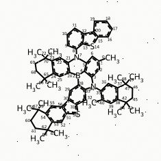 Cc1cc2c3c(c1)N(c1cccc4c1sc1ccccc14)c1cc4c(cc1B3c1cc3c(cc1N2c1cc2c(cc1C)C(C)(C)CCC2(C)C)sc1cc2c(cc13)C(C)(C)CCC2(C)C)C(C)(C)CCC4(C)C